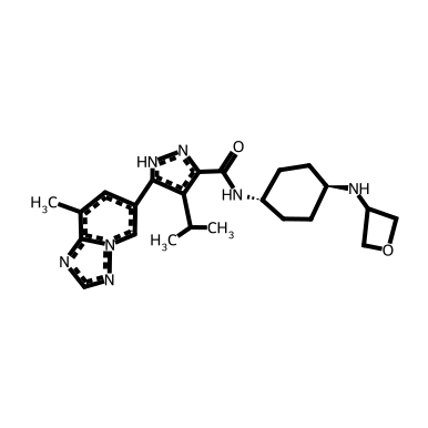 Cc1cc(-c2[nH]nc(C(=O)N[C@H]3CC[C@H](NC4COC4)CC3)c2C(C)C)cn2ncnc12